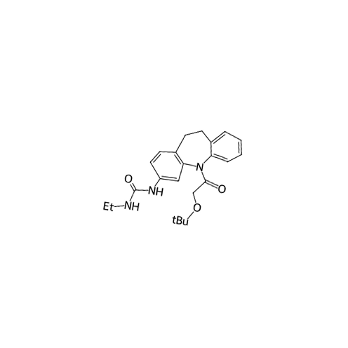 CCNC(=O)Nc1ccc2c(c1)N(C(=O)COC(C)(C)C)c1ccccc1CC2